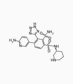 Nc1ccc(-c2ccc(S(=O)(=O)N[C@H]3CCCNC3)c(S(N)(=O)=O)c2-c2nn[nH]n2)cn1